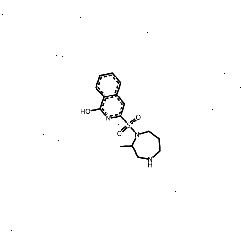 CC1CNCCCN1S(=O)(=O)c1cc2ccccc2c(O)n1